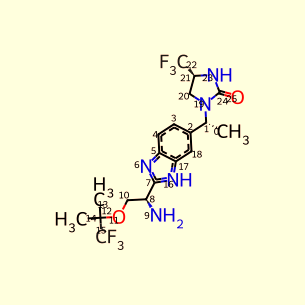 C[C@H](c1ccc2nc([C@@H](N)COC(C)(C)C(F)(F)F)[nH]c2c1)N1C[C@@H](C(F)(F)F)NC1=O